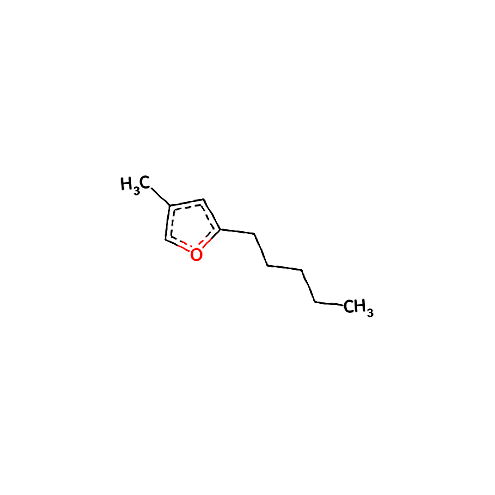 CCCCCc1cc(C)co1